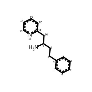 NC([CH]Cc1ccccc1)Cc1ccccn1